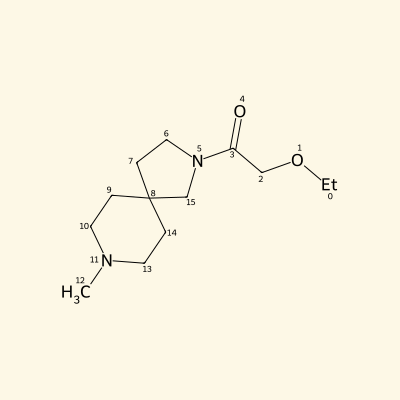 CCOCC(=O)N1CCC2(CCN(C)CC2)C1